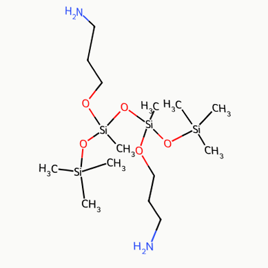 C[Si](C)(C)O[Si](C)(OCCCN)O[Si](C)(OCCCN)O[Si](C)(C)C